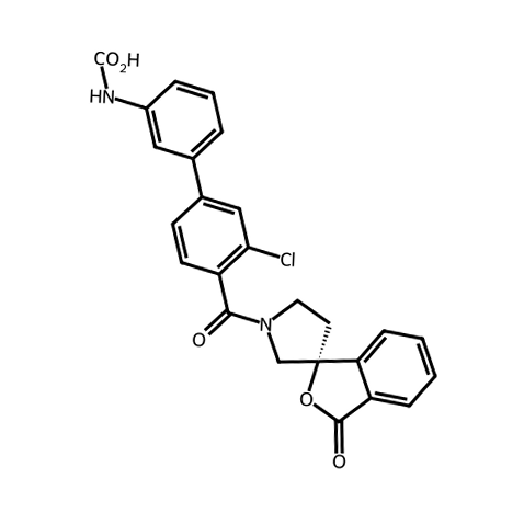 O=C(O)Nc1cccc(-c2ccc(C(=O)N3CC[C@@]4(C3)OC(=O)c3ccccc34)c(Cl)c2)c1